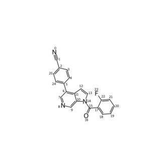 N#Cc1ccc(-c2cncc3c2ccn3C(=O)c2ccccc2F)cc1